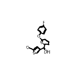 OC(c1csc(Cl)c1)c1cccc(Oc2ccc(F)cc2)n1